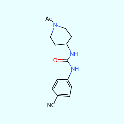 CC(=O)N1CCC(NC(=O)Nc2ccc(C#N)cc2)CC1